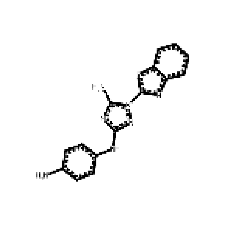 Nc1ccc(Nc2nc(N)n(-c3nc4ccccc4s3)n2)cc1